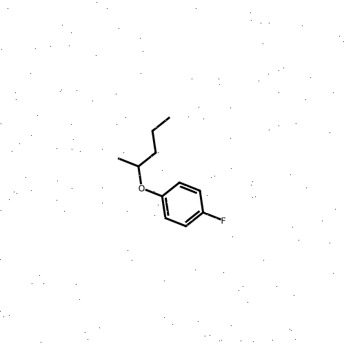 CC[CH]C(C)Oc1ccc(F)cc1